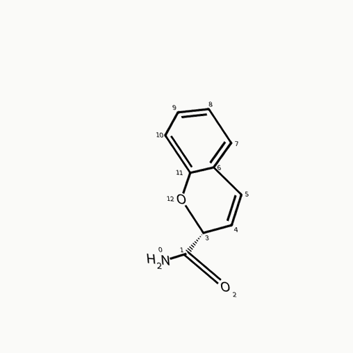 NC(=O)[C@H]1C=Cc2ccccc2O1